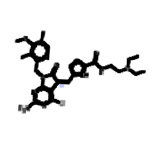 CCN(CC)CCNC(=O)c1ccc(/C=C2\C(=O)N(Cc3ncc(C)c(OC)c3C)c3nc(N)nc(Cl)c32)[nH]1